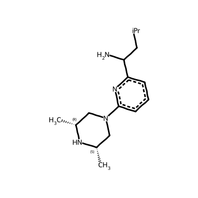 CC(C)CC(N)c1cccc(N2C[C@@H](C)N[C@@H](C)C2)n1